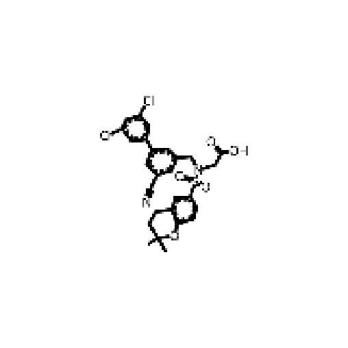 CC1(C)CCc2cc(S(=O)(=O)N(CC(=O)O)Cc3cc(C#N)cc(-c4cc(Cl)cc(Cl)c4)c3)ccc2O1